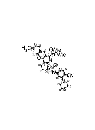 COC(OC)c1nc2c(cc1CN1CCN(C)CC1=O)CCCN2C(=O)Nc1cc(N2CCSCC2)c(C#N)cn1